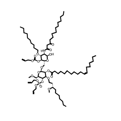 C=CCOC(=O)O[C@H]1[C@H](OCCCCCCCCCC)[C@H](NC(=O)CC(=O)CCCCCCCCCCC)[C@@H](O)O[C@@H]1CO[C@@H]1O[C@H](COC)[C@@H](OP(=O)(OCC=C)OCC=C)[C@H](OCC[C@H](CCCCCCC)OC)[C@H]1OC(=O)CCCCCCCCC/C=C\CCCCCC